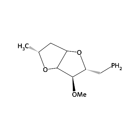 CO[C@H]1C2O[C@H](C)CC2O[C@@H]1CP